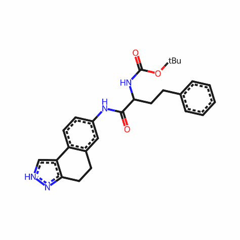 CC(C)(C)OC(=O)NC(CCc1ccccc1)C(=O)Nc1ccc2c(c1)CCc1n[nH]cc1-2